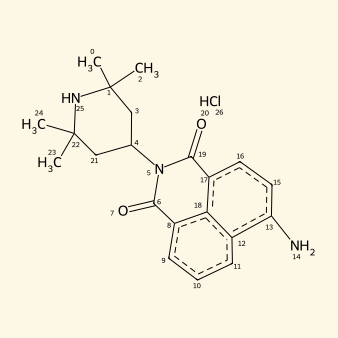 CC1(C)CC(N2C(=O)c3cccc4c(N)ccc(c34)C2=O)CC(C)(C)N1.Cl